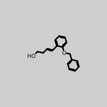 OCCC=Cc1ccccc1OCc1ccccc1